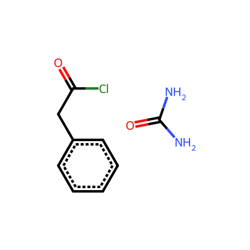 NC(N)=O.O=C(Cl)Cc1ccccc1